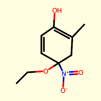 CCOC1([N+](=O)[O-])C=CC(O)=C(C)C1